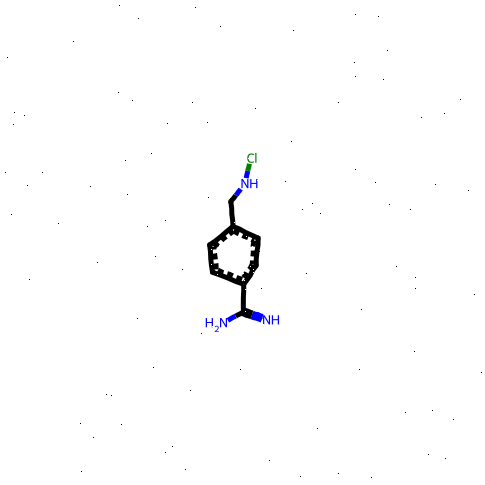 N=C(N)c1ccc(CNCl)cc1